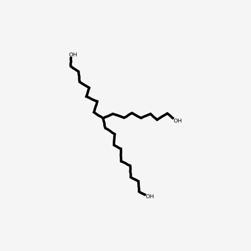 OCCCCCC[CH]C(CCCCCCCO)CCCCCCCCCO